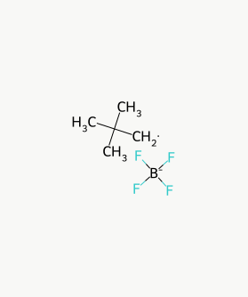 F[B-](F)(F)F.[CH2]C(C)(C)C